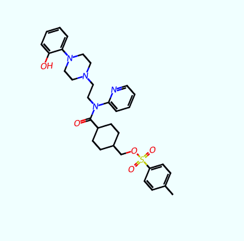 Cc1ccc(S(=O)(=O)OCC2CCC(C(=O)N(CCN3CCN(c4ccccc4O)CC3)c3ccccn3)CC2)cc1